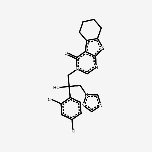 O=c1c2c3c(sc2ncn1CC(O)(Cn1cncn1)c1ccc(Cl)cc1Cl)CCCC3